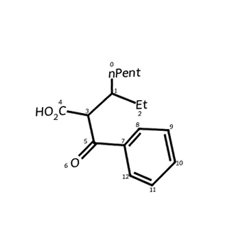 CCCCCC(CC)C(C(=O)O)C(=O)c1ccccc1